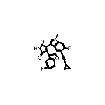 Cn1cc(C2=C(c3coc4ccc(F)cc34)C(=O)NC2=O)c2cc(C#CC3CC3)c(F)cc21